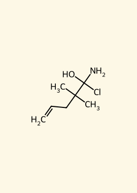 C=CCC(C)(C)C(N)(O)Cl